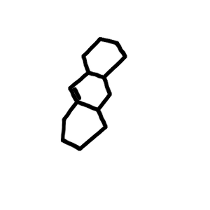 C1=C2CCCCC2CC2CCCCC12